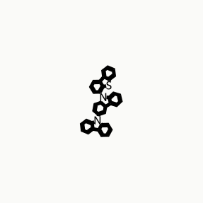 C1=CC2C(C=C1n1c3ccccc3c3ccccc31)c1ccccc1N2c1cccc2c1sc1ccccc12